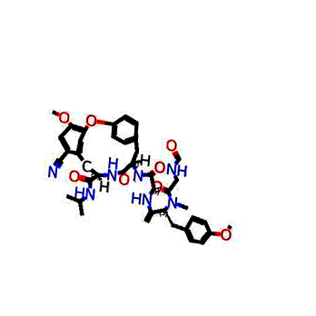 C=C(N[C@@H](C)C(=O)N(C)[C@H]1Cc2ccc(cc2)Oc2cc(c(C#N)cc2OC)C[C@@H](C(=O)NC(C)C)NC1=O)[C@H](Cc1ccc(OC)cc1)N(C)C(=O)CNC=O